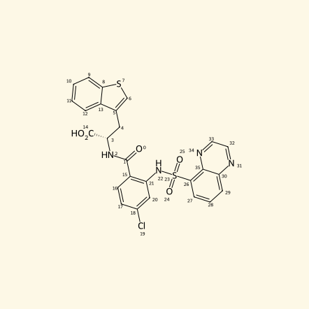 O=C(N[C@@H](Cc1csc2ccccc12)C(=O)O)c1ccc(Cl)cc1NS(=O)(=O)c1cccc2nccnc12